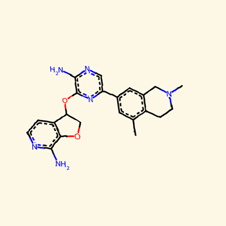 Cc1cc(-c2cnc(N)c(OC3COc4c3ccnc4N)n2)cc2c1CCN(C)C2